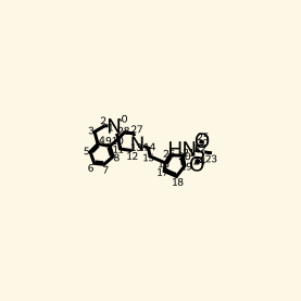 CN1CCc2ccccc2C12CCN(CCc1cccc(NS(C)(=O)=O)c1)CC2